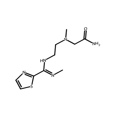 C/N=C(\NCCN(C)CC(N)=O)c1nccs1